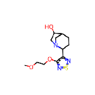 COCCOc1nsnc1C1CCC2CN1CC2O